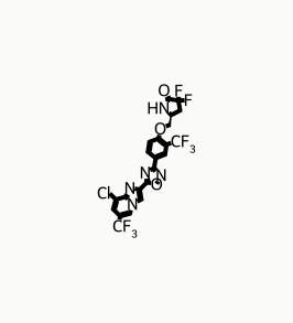 O=C1N[C@H](COc2ccc(-c3noc(-c4cn5cc(C(F)(F)F)cc(Cl)c5n4)n3)cc2C(F)(F)F)CC1(F)F